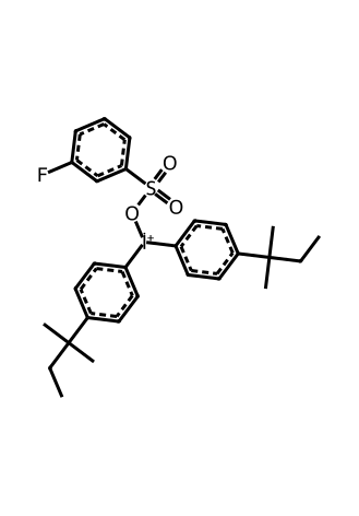 CCC(C)(C)c1ccc([I+](OS(=O)(=O)c2cccc(F)c2)c2ccc(C(C)(C)CC)cc2)cc1